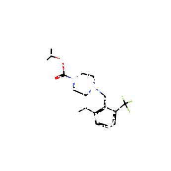 CCc1cccc(C(F)(F)F)c1CN1CCN(C(=O)OC(C)C)CC1